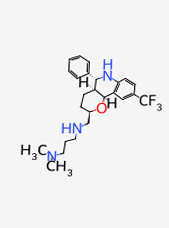 CN(C)CCCNC[C@H]1CC[C@@H]2[C@H](O1)c1cc(C(F)(F)F)ccc1N[C@H]2c1ccccc1